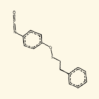 O=C=Nc1ccc(OSCCc2ccccc2)cc1